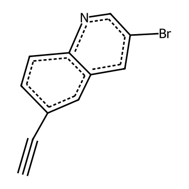 C#Cc1ccc2ncc(Br)cc2c1